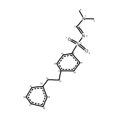 CN(C)/C=N/S(=O)(=O)c1ccc(CCc2ccccc2)cc1